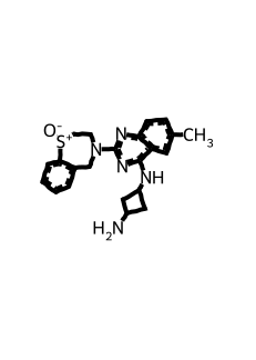 Cc1ccc2nc(N3CC[S+]([O-])c4ccccc4C3)nc(NC3CC(N)C3)c2c1